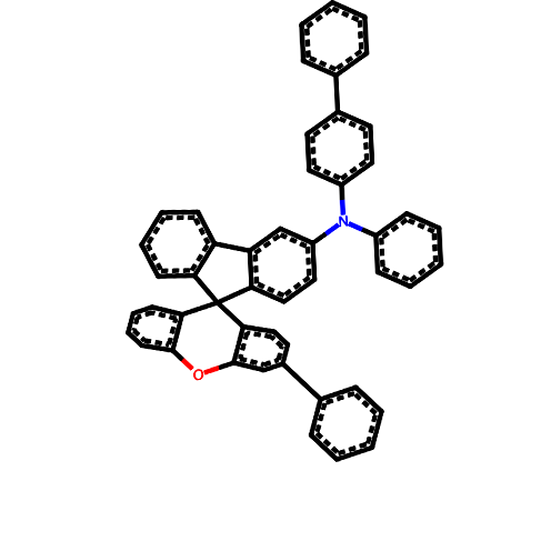 c1ccc(-c2ccc(N(c3ccccc3)c3ccc4c(c3)-c3ccccc3C43c4ccccc4Oc4cc(-c5ccccc5)ccc43)cc2)cc1